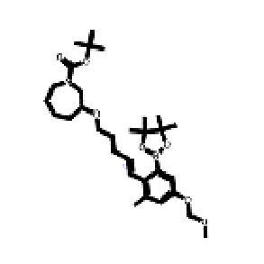 COCOc1cc(C)c(/C=C/CCCOC2CCCCN(C(=O)OC(C)(C)C)C2)c(B2OC(C)(C)C(C)(C)O2)c1